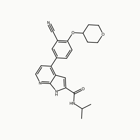 CC(C)NC(=O)c1cc2c(-c3ccc(OC4CCOCC4)c(C#N)c3)ccnc2[nH]1